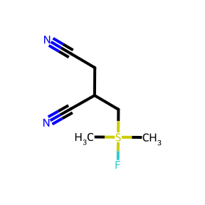 CS(C)(F)CC(C#N)CC#N